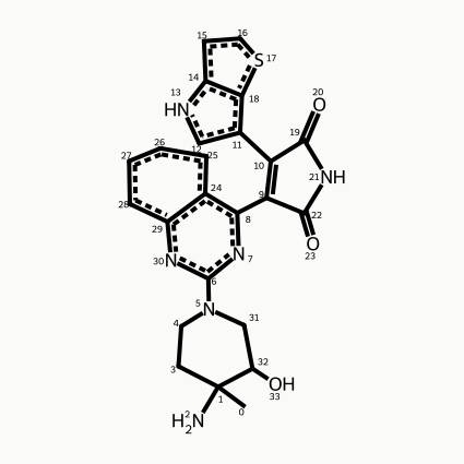 CC1(N)CCN(c2nc(C3=C(c4c[nH]c5ccsc45)C(=O)NC3=O)c3ccccc3n2)CC1O